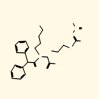 NC(=O)[C@@H](CCCNC(N)=N[N+](=O)[O-])N(CCCCO)C(=O)C(c1ccccc1)c1ccccc1